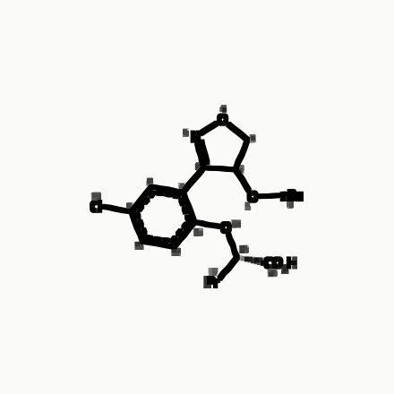 CCCCOC1CON=C1c1cc(Cl)ccc1O[C@H](C(=O)O)C(C)C